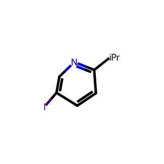 CC(C)c1ccc(I)cn1